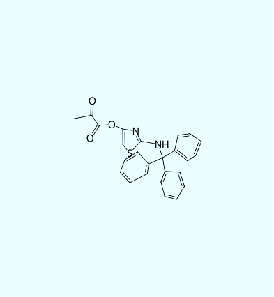 CC(=O)C(=O)Oc1csc(NC(c2ccccc2)(c2ccccc2)c2ccccc2)n1